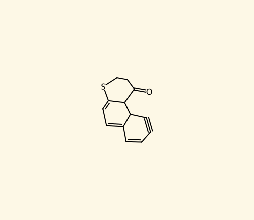 O=C1CCSC2=CC=C3C=CC#CC3C12